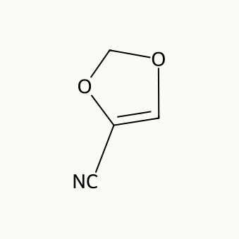 N#CC1=COCO1